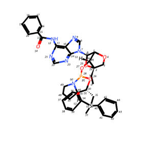 CC[C@@]12COC([C@H](n3cnc4c(NC(=O)c5ccccc5)ncnc43)O1)[C@H]2O[P@@]1O[C@H](C[Si](C)(c2ccccc2)c2ccccc2)[C@@H]2CCCN21